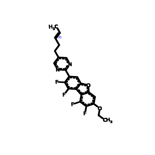 C/C=C/CCc1cnc(-c2cc3oc4cc(OCC)c(F)c(F)c4c3c(F)c2F)nc1